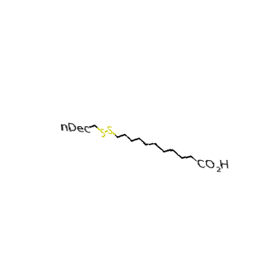 CCCCCCCCCCCSSCCCCCCCCCCC(=O)O